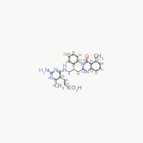 Cc1nc(N)nc(NCCCc2nc3cccc(C)c3c(=O)n2-c2ccc(F)cc2)c1C=CC(=O)O